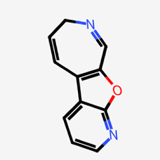 C1=Cc2c(oc3ncccc23)C=NC1